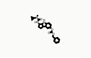 CN(C(=O)NC1CCC2C3C=C(OC(=O)OCc4ccccc4)C=CC3NC12)C1CC1